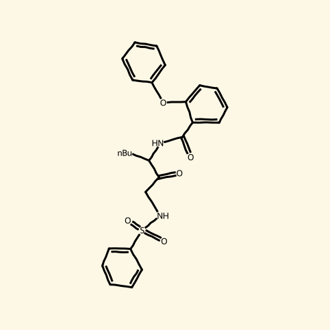 CCCCC(NC(=O)c1ccccc1Oc1ccccc1)C(=O)CNS(=O)(=O)c1ccccc1